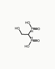 O=[PH](O)C(CO)[PH](=O)O